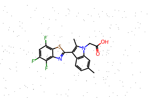 Cc1ccc2c(-c3nc4c(F)c(F)cc(F)c4s3)c(C)n(CC(=O)O)c2c1